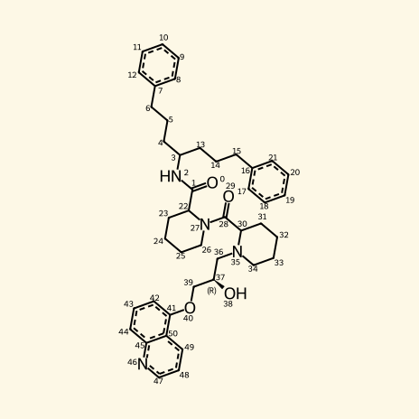 O=C(NC(CCCc1ccccc1)CCCc1ccccc1)C1CCCCN1C(=O)C1CCCCN1C[C@@H](O)COc1cccc2ncccc12